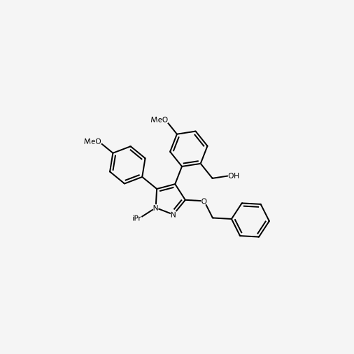 COc1ccc(-c2c(-c3cc(OC)ccc3CO)c(OCc3ccccc3)nn2C(C)C)cc1